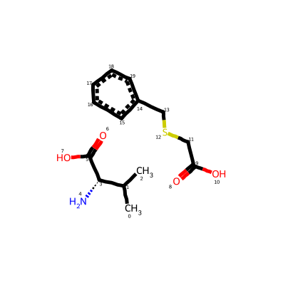 CC(C)[C@H](N)C(=O)O.O=C(O)CSCc1ccccc1